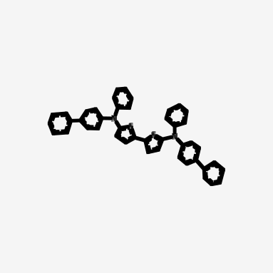 c1ccc(-c2ccc(N(c3ccccc3)c3ccc(-c4ccc(N(c5ccccc5)c5ccc(-c6ccccc6)cc5)s4)s3)cc2)cc1